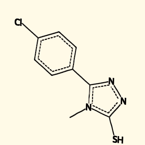 Cn1c(S)nnc1-c1ccc(Cl)cc1